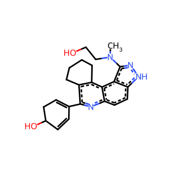 CN(CCO)c1n[nH]c2ccc3nc(C4=CCC(O)C=C4)c4c(c3c12)CCCC4